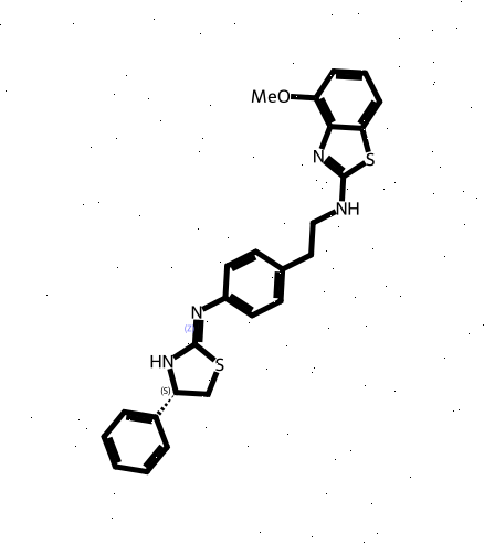 COc1cccc2sc(NCCc3ccc(/N=C4/N[C@@H](c5ccccc5)CS4)cc3)nc12